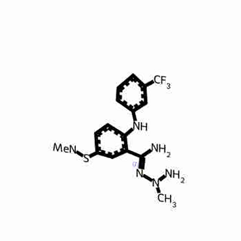 CNSc1ccc(Nc2cccc(C(F)(F)F)c2)c(/C(N)=N/N(C)N)c1